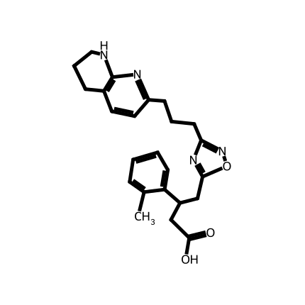 Cc1ccccc1C(CC(=O)O)Cc1nc(CCCc2ccc3c(n2)NCCC3)no1